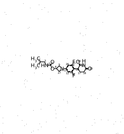 CC(C)CNC(=O)OC1CN(c2cc(F)c([C@@H]3CCC(=O)NC3=O)c(F)c2)C1